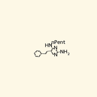 CCCCCNc1nc(N)ncc1C=Cc1ccccc1